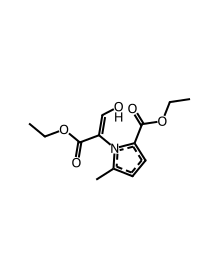 CCOC(=O)/C(=C/O)n1c(C)ccc1C(=O)OCC